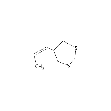 C/C=C\C1CSCSC1